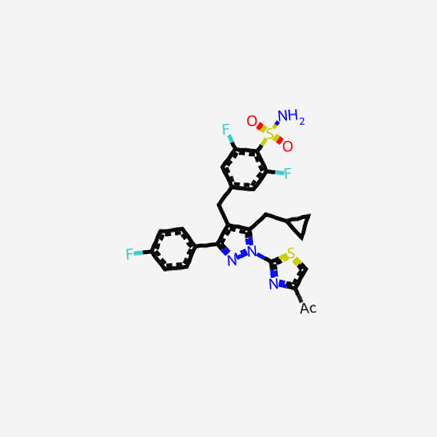 CC(=O)c1csc(-n2nc(-c3ccc(F)cc3)c(Cc3cc(F)c(S(N)(=O)=O)c(F)c3)c2CC2CC2)n1